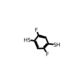 Fc1cc(S)c(F)cc1S